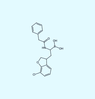 O=C(Cc1ccccc1)NC(CC1COc2c(Cl)cccc21)B(O)O